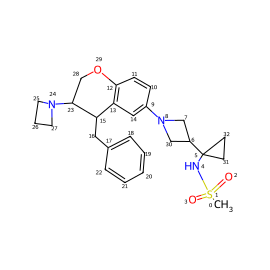 CS(=O)(=O)NC1(C2CN(c3ccc4c(c3)C(Cc3ccccc3)C(N3CCC3)CO4)C2)CC1